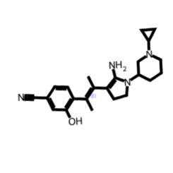 C/C(C1=C(N)N(C2CCCN(C3CC3)C2)CC1)=C(/C)c1ccc(C#N)cc1O